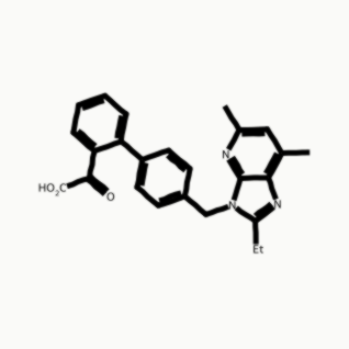 CCc1nc2c(C)cc(C)nc2n1Cc1ccc(-c2ccccc2C(=O)C(=O)O)cc1